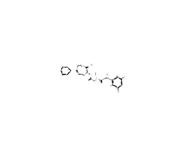 C[C@H](NC(=O)[C@H](O)c1cc(F)cc(F)c1)C(=O)N[C@H]1C=C[C@H](c2ccccc2)CNC1=O